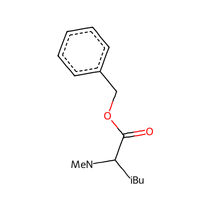 CCC(C)C(NC)C(=O)OCc1ccccc1